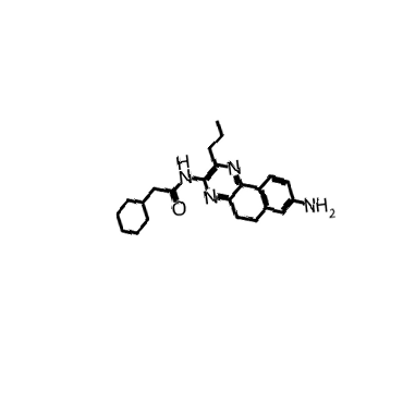 CCCc1nc2c(nc1NC(=O)CC1CCCCC1)CCc1cc(N)ccc1-2